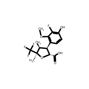 COc1c([C@H]2[C@H](C(=O)O)O[C@@](C)(C(F)(F)F)[C@H]2C)ccc(O)c1F